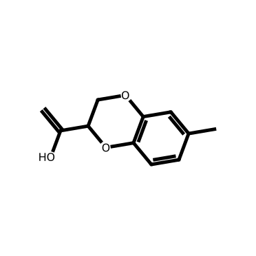 C=C(O)C1COc2cc(C)ccc2O1